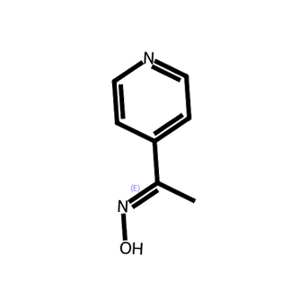 C/C(=N\O)c1ccncc1